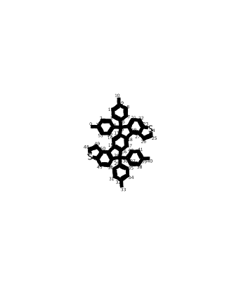 Cc1ccc(C2(c3ccc(C)cc3)c3cc4c(cc3-c3c2ccc2sccc32)C(c2ccc(C)cc2)(c2ccc(C)cc2)c2ccc3sccc3c2-4)cc1